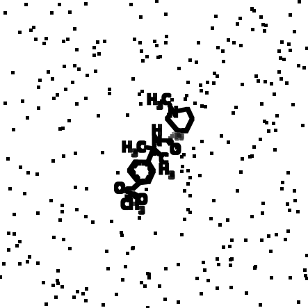 CN1CCC[C@H](C(=O)NC(C)(C)c2ccc(S(C)(=O)=O)cc2)C1